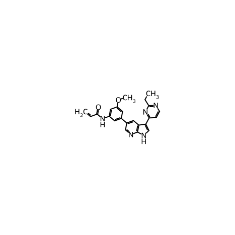 C=CC(=O)Nc1cc(OC)cc(-c2cnc3[nH]cc(-c4ccnc(CC)n4)c3c2)c1